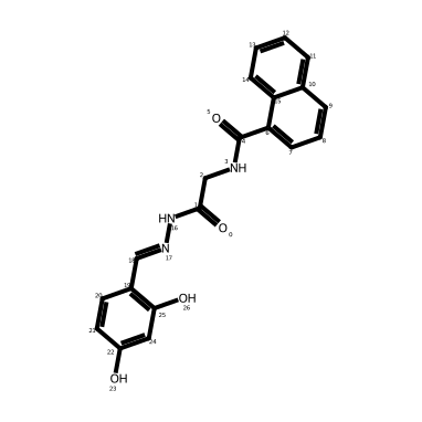 O=C(CNC(=O)c1cccc2ccccc12)NN=Cc1ccc(O)cc1O